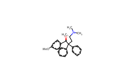 COc1ccc(C(=O)C(C[C@H](C)N(C)C)(c2ccccc2)c2ccccc2)cc1